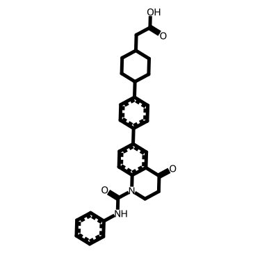 O=C(O)CC1CCC(c2ccc(-c3ccc4c(c3)C(=O)CCN4C(=O)Nc3ccccc3)cc2)CC1